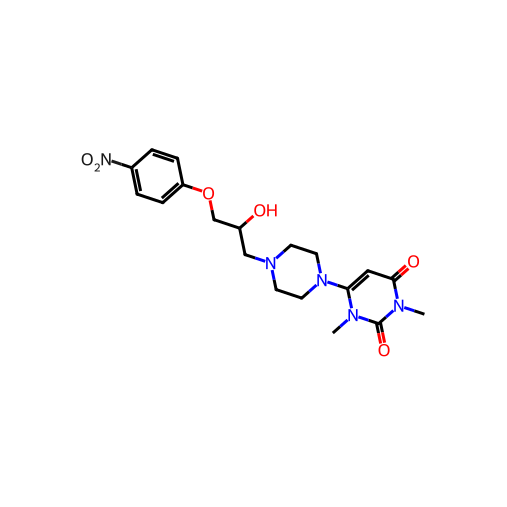 Cn1c(N2CCN(CC(O)COc3ccc([N+](=O)[O-])cc3)CC2)cc(=O)n(C)c1=O